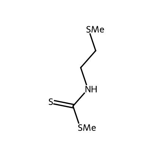 CSCCNC(=S)SC